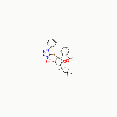 CC(C)(C)CC(C)(C)c1cc(O)c(Sc2nnnn2-c2ccccc2)c(-c2ccccc2C(O)=S)c1O